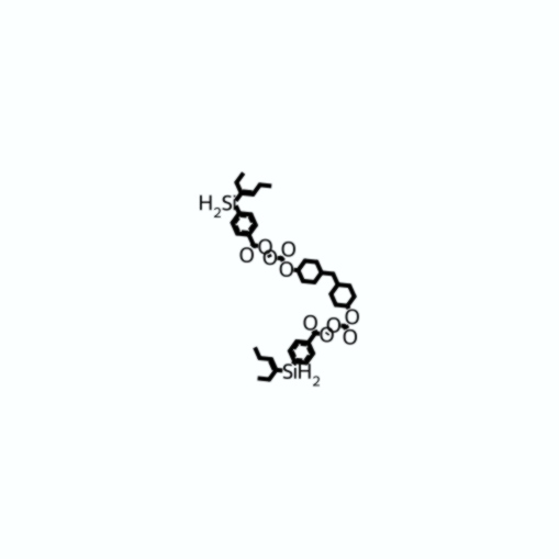 CCC=C(CC)[SiH2]c1ccc(C(=O)OOC(=O)OC2CCC(CC3CCC(OC(=O)OOC(=O)c4ccc([SiH2]C(=CCC)CC)cc4)CC3)CC2)cc1